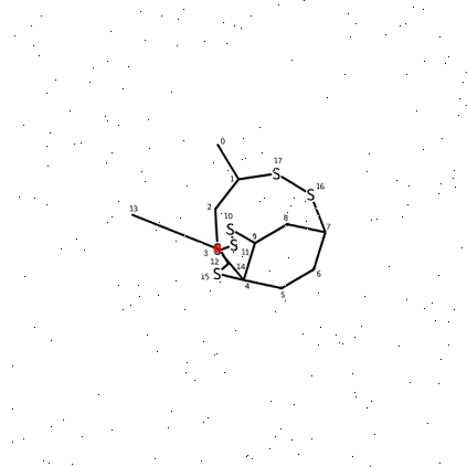 CC1CSC23CCC(CC2SSC(C)CS3)SS1